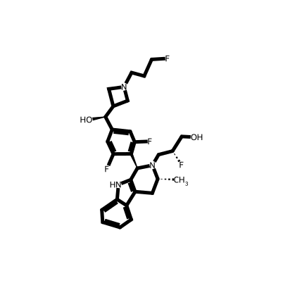 C[C@@H]1Cc2c([nH]c3ccccc23)[C@@H](c2c(F)cc([C@@H](O)C3CN(CCCF)C3)cc2F)N1C[C@@H](F)CO